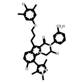 CCC1Cn2c(c(CCCOc3cc(C)c(Cl)c(C)c3)c3ccc(Cl)c(-c4c(C)nn(C)c4C)c32)C(=O)N1c1cccc(C(=O)O)c1